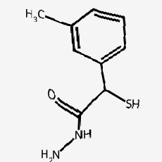 Cc1cccc(C(S)C(=O)NN)c1